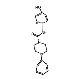 O=C(Nc1ccc(O)cn1)N1CCN(c2ccccn2)CC1